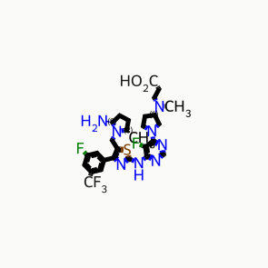 C[C@@H]1CC[C@@H](N)N1Cc1sc(Nc2ncnc(N3CC[C@H](N(C)CCC(=O)O)C3)c2F)nc1-c1cc(F)cc(C(F)(F)F)c1